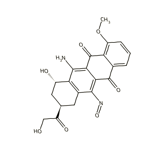 COc1cccc2c1C(=O)c1c(N)c3c(c(N=O)c1C2=O)C[C@@H](C(=O)CO)C[C@@H]3O